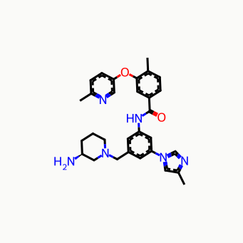 Cc1ccc(Oc2cc(C(=O)Nc3cc(CN4CCC[C@H](N)C4)cc(-n4cnc(C)c4)c3)ccc2C)cn1